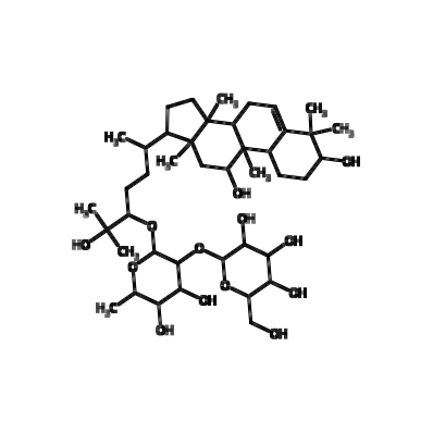 CC(CCC(OC1OC(C)C(O)C(O)C1OC1OC(CO)C(O)C(O)C1O)C(C)(C)O)C1CCC2(C)C3CC=C4C(CCC(O)C4(C)C)C3(C)C(O)CC12C